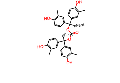 CCCCCC(OC(=O)OC(CCCCC)(c1ccc(O)c(C)c1)c1ccc(O)c(C)c1)(c1ccc(O)c(C)c1)c1ccc(O)c(C)c1